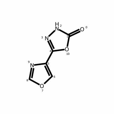 O=c1[nH]nc(-c2cocn2)o1